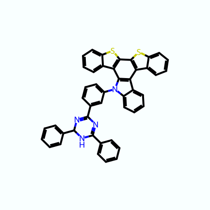 c1ccc(C2=NC(c3cccc(-n4c5ccccc5c5c6c7ccccc7sc6c6sc7ccccc7c6c54)c3)=NC(c3ccccc3)N2)cc1